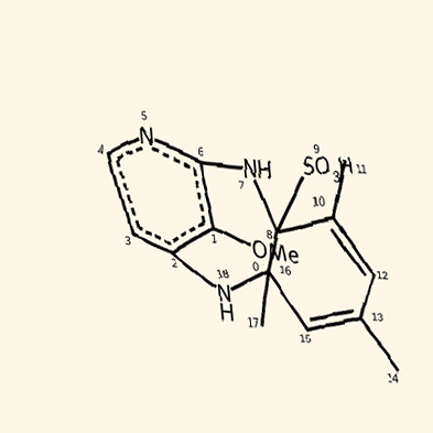 COc1c2ccnc1NC1(S(=O)(=O)O)C(C)=CC(C)=CC1(C)N2